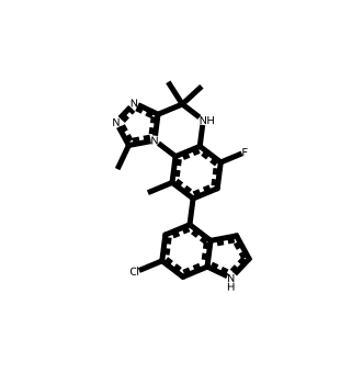 Cc1c(-c2cc(Cl)cc3[nH]ccc23)cc(F)c2c1-n1c(C)nnc1C(C)(C)N2